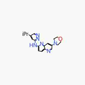 CC(C)c1cnnc(Nc2ccc3ncc(N4CCOCC4)cc3n2)c1